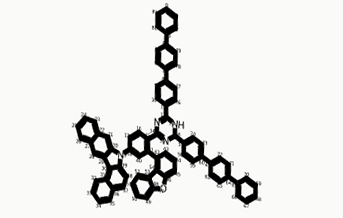 c1ccc(-c2ccc(-c3ccc(C4=NC(c5ccc(-n6c7cc8ccccc8cc7c7c8ccccc8ccc76)cc5-c5cccc6oc7ccccc7c56)=NC(c5ccc(-c6ccc(-c7ccccc7)cc6)cc5)N4)cc3)cc2)cc1